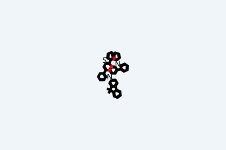 CC1(C)c2ccccc2-c2ccc(N(C3=C(C4=Cc5sc6ccccc6c5CC4)CCC=C3)c3ccc4c(c3)c3ccccc3n4-c3ccccc3)cc21